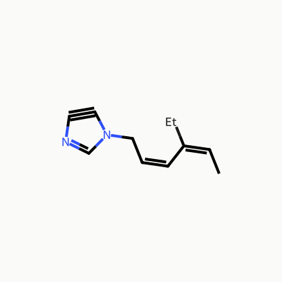 C/C=C(\C=C/Cn1c#cnc1)CC